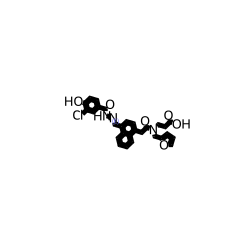 O=C(O)CCN(Cc1ccco1)C(=O)Cc1ccc(/C=N/NC(=O)c2ccc(O)c(Cl)c2)c2ccccc12